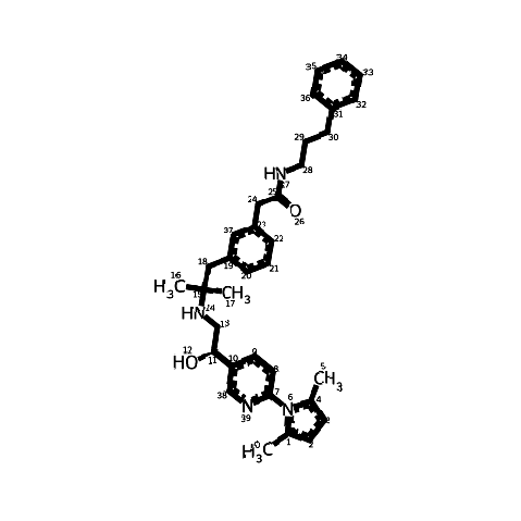 Cc1ccc(C)n1-c1ccc([C@@H](O)CNC(C)(C)Cc2cccc(CC(=O)NCCCc3ccccc3)c2)cn1